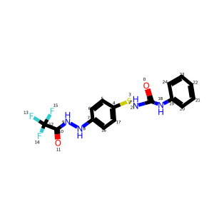 O=C(NSc1ccc(NNC(=O)C(F)(F)F)cc1)Nc1ccccc1